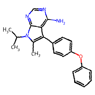 Cc1c(-c2ccc(Oc3ccccc3)cc2)c2c(N)ncnc2n1C(C)C